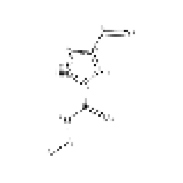 CCOC(=O)c1nc(C=O)c[nH]1